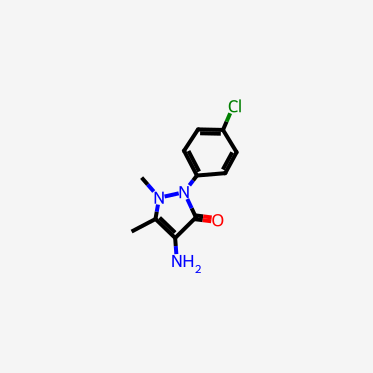 Cc1c(N)c(=O)n(-c2ccc(Cl)cc2)n1C